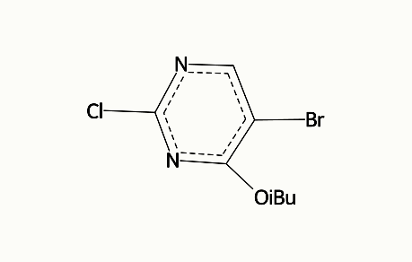 CC(C)COc1nc(Cl)ncc1Br